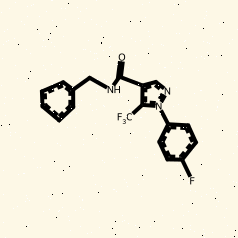 O=C(NCc1ccccc1)c1cnn(-c2ccc(F)cc2)c1C(F)(F)F